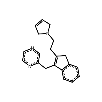 C1=CCN(CCC2=C(Cc3cnccn3)c3ccccc3C2)C1